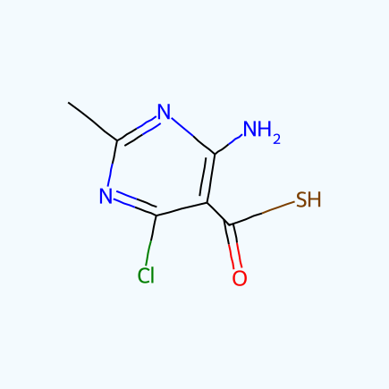 Cc1nc(N)c(C(=O)S)c(Cl)n1